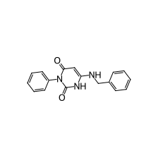 O=c1cc(NCc2ccccc2)[nH]c(=O)n1-c1ccccc1